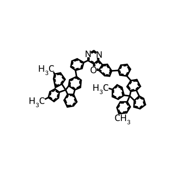 Cc1ccc(C2(c3ccc(C)cc3)c3ccccc3-c3ccc(-c4cccc(-c5ccc6oc7c(-c8cccc(-c9ccc%10c(c9)C(c9ccc(C)cc9)(c9ccc(C)cc9)c9ccccc9-%10)c8)ncnc7c6c5)c4)cc32)cc1